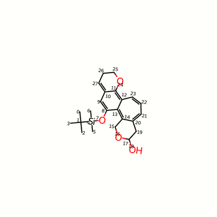 CC(C)(C)[Si](C)(C)Oc1cc2c(c3c1=C1COC(O)CC1=CC=C3)OCCC=2